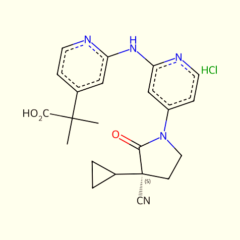 CC(C)(C(=O)O)c1ccnc(Nc2cc(N3CC[C@@](C#N)(C4CC4)C3=O)ccn2)c1.Cl